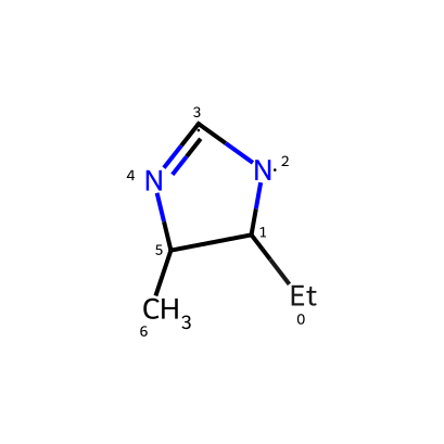 CCC1[N][C]=NC1C